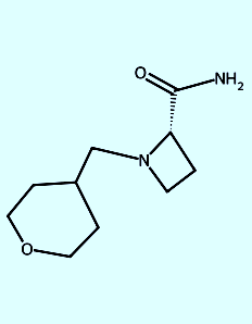 NC(=O)[C@@H]1CCN1CC1CCOCC1